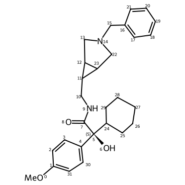 COc1ccc([C@](O)(C(=O)NCC2C3CN(Cc4ccccc4)CC23)C2CCCCC2)cc1